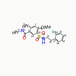 CCCN(CCC)C(=O)c1ccc(OC)c(S(=O)(=O)NCCc2ccccc2F)c1